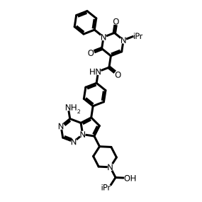 CC(C)C(O)N1CCC(c2cc(-c3ccc(NC(=O)c4cn(C(C)C)c(=O)n(-c5ccccc5)c4=O)cc3)c3c(N)ncnn23)CC1